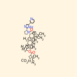 C=C(C)[C@@H]1CC[C@]2(C(=O)N3CCC[C@H]3c3ncc(-c4cccnc4)[nH]3)CC[C@]3(C)[C@H](CC[C@@H]4[C@@]5(C)CC[C@H](OC(=O)C6CC(C(=O)O)C6(C)C)C(C)(C)[C@@H]5CC[C@]43C)[C@@H]12